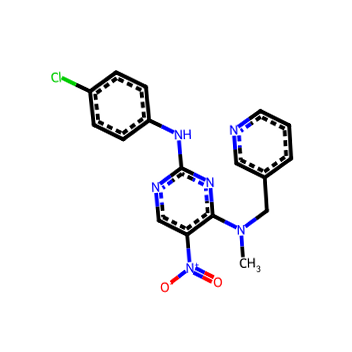 CN(Cc1cccnc1)c1nc(Nc2ccc(Cl)cc2)ncc1[N+](=O)[O-]